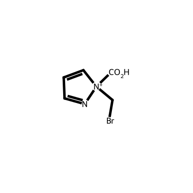 O=C(O)[N+]1(CBr)C=CC=N1